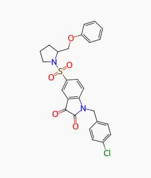 O=C1C(=O)N(Cc2ccc(Cl)cc2)c2ccc(S(=O)(=O)N3CCCC3COc3ccccc3)cc21